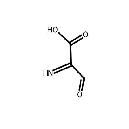 N=C(C=O)C(=O)O